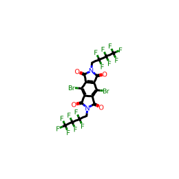 O=c1c2c(Br)c3c(=O)n(CC(F)(F)C(F)(F)C(F)(F)F)c(=O)c3c(Br)c2c(=O)n1CC(F)(F)C(F)(F)C(F)(F)F